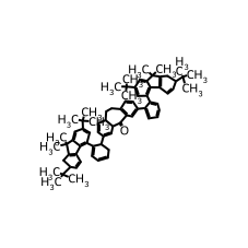 CC(C)(C)c1cc(C2=CC=CCC2C2=CC3C(=O)c4cc(-c5ccccc5-c5cc(C(C)(C)C)cc6c5C5=C(CC(C(C)(C)C)C=C5)C6(C)C)ccc4CCC3C=C2)c2c(c1)C(C)(C)C1=C2C=CC(C(C)(C)C)C1